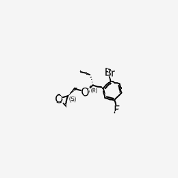 CC[C@@H](OC[C@H]1CO1)c1cc(F)ccc1Br